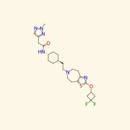 Cn1ncc(CC(=O)N[C@H]2CC[C@H](CCN3CCc4nc(OC5CC(F)(F)C5)sc4CC3)CC2)n1